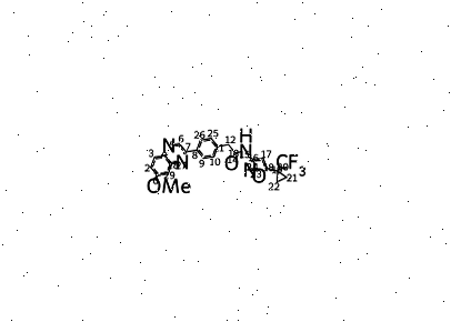 COc1ccc2ncc(-c3ccc(CC(=O)Nc4cc(C5(C(F)(F)F)CC5)on4)cc3)nc2c1